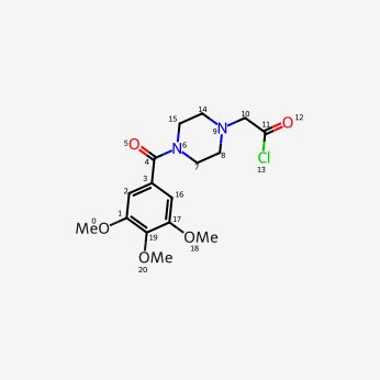 COc1cc(C(=O)N2CCN(CC(=O)Cl)CC2)cc(OC)c1OC